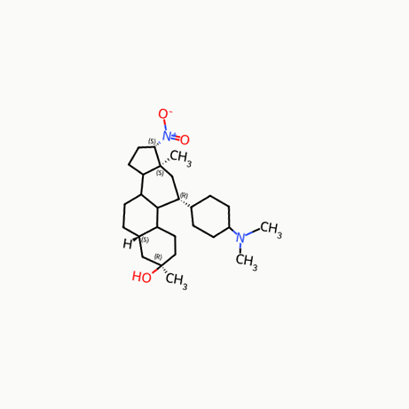 CN(C)C1CCC([C@H]2C[C@@]3(C)C(CC[C@@H]3[N+](=O)[O-])C3CC[C@H]4C[C@](C)(O)CCC4C32)CC1